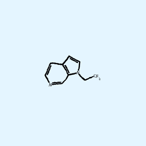 FC(F)(F)Cn1ccc2ccncc21